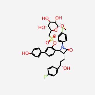 CO[C@@H]1OC(CS(=O)(=O)Oc2cc(-c3ccc(O)cc3)ccc2[C@@H]2[C@@H](CC[C@H](O)c3ccc(F)cc3)C(=O)N2c2ccc(F)cc2)[C@H](O)[C@@H](O)[C@@H]1O